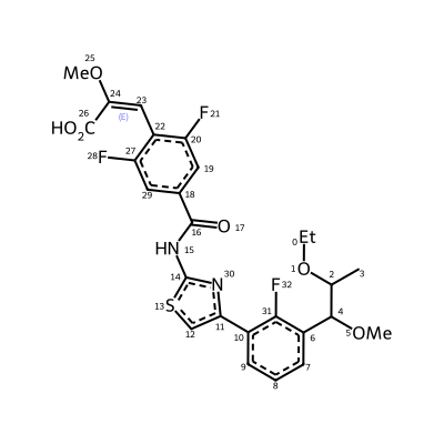 CCOC(C)C(OC)c1cccc(-c2csc(NC(=O)c3cc(F)c(/C=C(/OC)C(=O)O)c(F)c3)n2)c1F